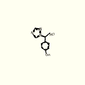 CC(c1ccc(O)cc1)n1cncn1.Cl